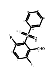 O=Cc1c(F)ccc(F)c1S(=O)(=O)c1ccccc1